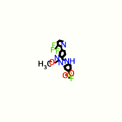 COCc1nc(Nc2ccc(S(=O)(=O)CF)cc2)c2ccc(-c3ncccc3C(F)(F)F)cc2n1